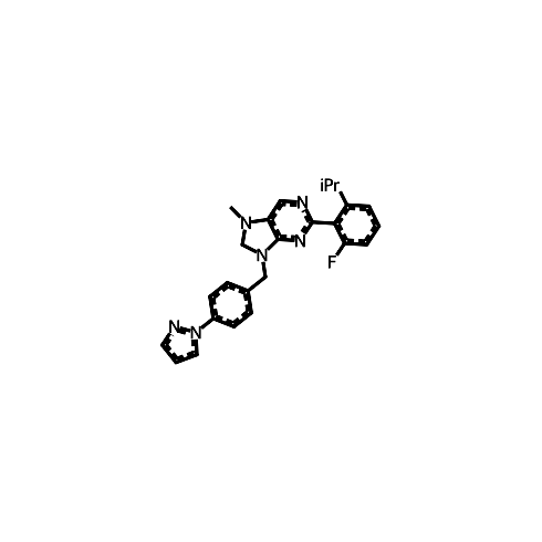 CC(C)c1cccc(F)c1-c1ncc2c(n1)N(Cc1ccc(-n3cccn3)cc1)CN2C